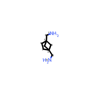 NCC12CCC(CN)(C1)C2